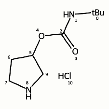 CC(C)(C)NC(=O)OC1CCNC1.Cl